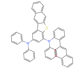 c1ccc(N(c2ccccc2)c2cc(N(c3ccccc3)c3ccccc3-c3ccc4ccccc4c3)c3sc4cc5ccccc5cc4c3c2)cc1